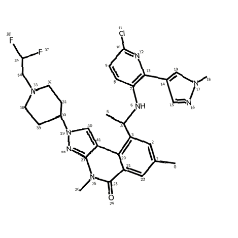 Cc1cc(C(C)Nc2ccc(Cl)nc2-c2cnn(C)c2)c2c(c1)c(=O)n(C)c1nn(C3CCN(CC(F)F)CC3)cc21